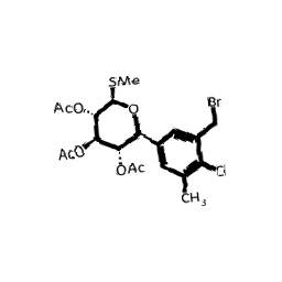 CS[C@H]1O[C@@H](c2cc(C)c(Cl)c(CBr)c2)[C@H](OC(C)=O)[C@@H](OC(C)=O)[C@@H]1OC(C)=O